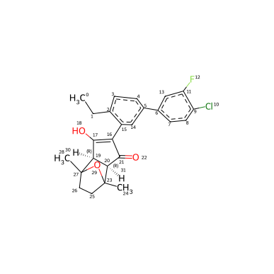 CCc1ccc(-c2ccc(Cl)c(F)c2)cc1C1=C(O)[C@H]2[C@@H](C1=O)C1(C)CCC2(C)O1